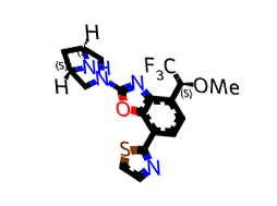 CO[C@@H](c1ccc(-c2nccs2)c2oc(N3C[C@@H]4C[C@@H](C3)N4)nc12)C(F)(F)F